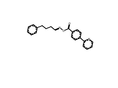 O=C(ON=CCCCc1ccccc1)c1ccc(-c2ccccn2)cc1